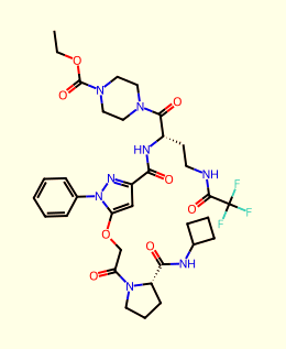 CCOC(=O)N1CCN(C(=O)[C@H](CCNC(=O)C(F)(F)F)NC(=O)c2cc(OCC(=O)N3CCC[C@H]3C(=O)NC3CCC3)n(-c3ccccc3)n2)CC1